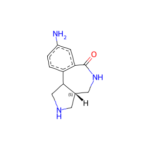 Nc1ccc2c(c1)C(=O)NC[C@@H]1CNCC21